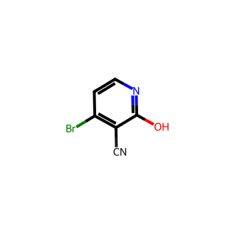 N#Cc1c(Br)ccnc1O